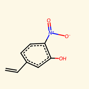 C=Cc1ccc([N+](=O)[O-])c(O)c1